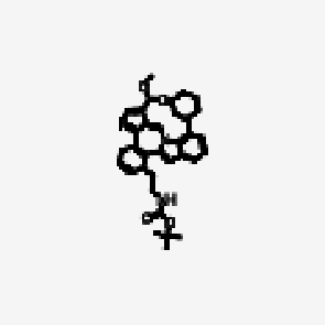 COC(=O)c1cnc2c3c(c4cc5cccc(C6CCCCC6)c5n4cc1-2)C(CCNC(=O)OC(C)(C)C)C=CC3